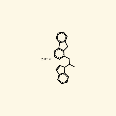 CC(Cc1cccc2c1Cc1ccccc1-2)C1C=Cc2ccccc21.[Cl-].[Cl-].[Zr+2]